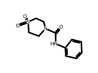 O=C(Nc1ccccc1)N1CCS(=O)(=O)CC1